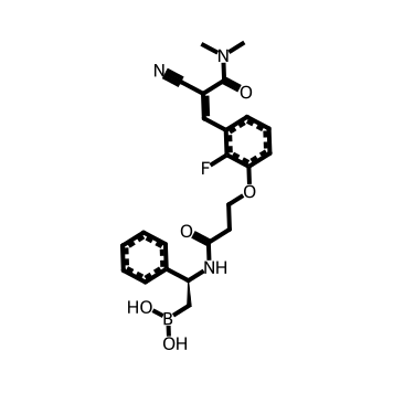 CN(C)C(=O)C(C#N)=Cc1cccc(OCCC(=O)N[C@@H](CB(O)O)c2ccccc2)c1F